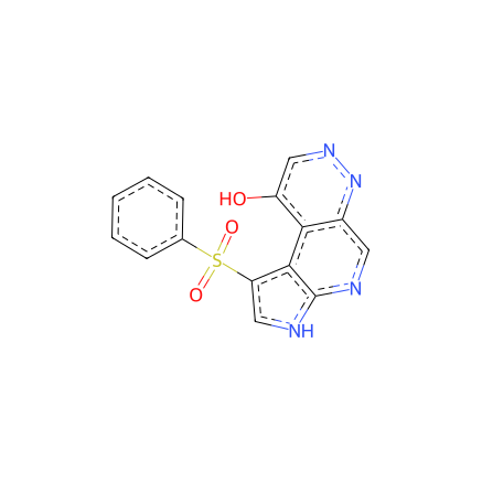 O=S(=O)(c1ccccc1)c1c[nH]c2ncc3nncc(O)c3c12